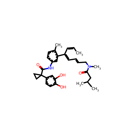 C\C=C/C(=C\C=C\CN(C)C(=O)CC(C)C)c1cc(NC(=O)C2(c3ccc(O)c(O)c3)CC2)ccc1C